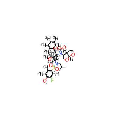 [2H]O[C@]([2H])(C([2H])([2H])N(CC(C)C)S(=O)(=O)c1c([2H])c([2H])c(OC)c(F)c1[2H])[C@@]([2H])(N(C(=O)O)C1CO[C@@H]2OC=C[C@@H]12)C([2H])([2H])c1c([2H])c([2H])c([2H])c([2H])c1[2H]